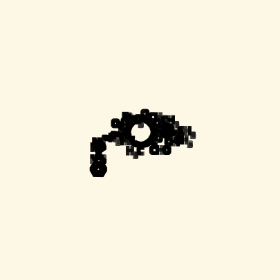 CC[C@H]1OC(=O)[C@H](C)C(=O)[C@H](C)[C@@H](O[C@@H]2OC(C)CC(N(C)C)C2O)[C@@H](CC=O)C[C@@H](C)CN[C@H](C)[C@H]2N(CCCCn3cc(-c4nc5ccccc5s4)nn3)C(=O)O[C@]12C